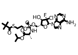 CC(C)OC(=O)[C@@H](C)NP(=O)(OCCSC(=O)C(C)(C)C)OC[C@H]1O[C@@H](n2cnc3c(N)ncnc32)[C@](F)(Cl)[C@@H]1O